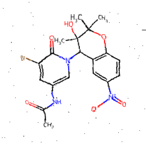 CC(=O)Nc1cc(Br)c(=O)n(C2c3cc([N+](=O)[O-])ccc3OC(C)(C)C2(C)O)c1